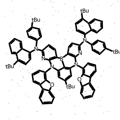 CC(C)(C)c1ccc(N(c2ccc3c(n2)N(c2cccc4c2oc2ccccc24)c2cc(C(C)(C)C)cc4c2B3c2ccc(N(c3ccc(C(C)(C)C)cc3)c3ccc(C(C)(C)C)c5ccccc35)nc2N4c2cccc3c2oc2ccccc23)c2ccc(C(C)(C)C)c3ccccc23)cc1